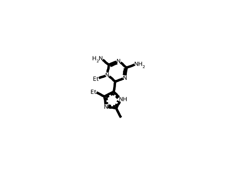 CCc1nc(C)[nH]c1C1N=C(N)N=C(N)N1CC